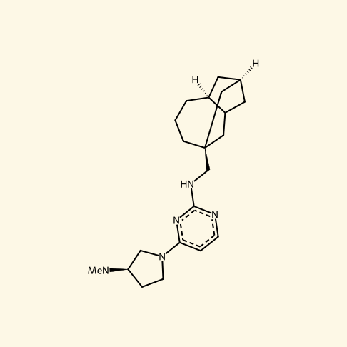 CN[C@@H]1CCN(c2ccnc(NC[C@]34CCC[C@H]5C[C@@H](CC5C3)C4)n2)C1